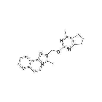 Cc1nc(OCc2nc3c4cccnc4ccn3c2C)nc2c1CCC2